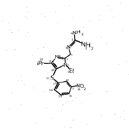 CCn1c(CN=C(N)N)nc(C(C)C)c1Sc1cccc([N+](=O)[O-])c1